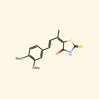 COc1ccc(/C=C/C(C)=C2SC(=S)NC2=O)cc1OC